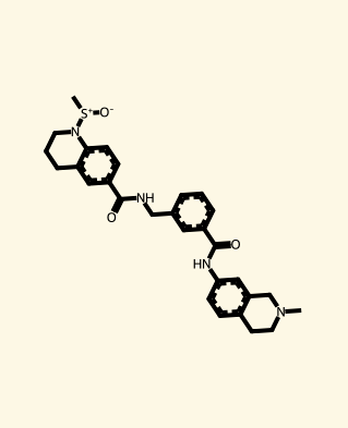 CN1CCc2ccc(NC(=O)c3cccc(CNC(=O)c4ccc5c(c4)CCCN5[S+](C)[O-])c3)cc2C1